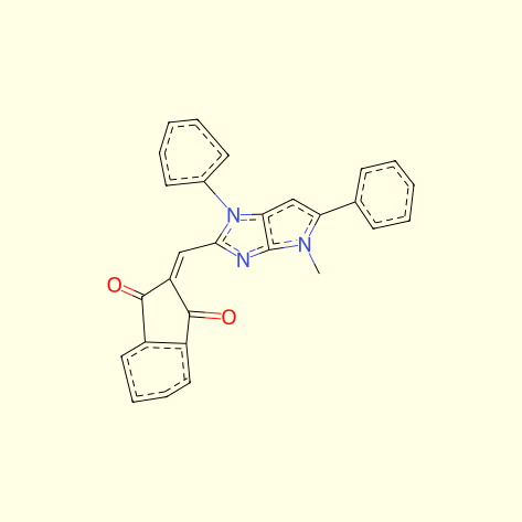 Cn1c(-c2ccccc2)cc2c1nc(C=C1C(=O)c3ccccc3C1=O)n2-c1ccccc1